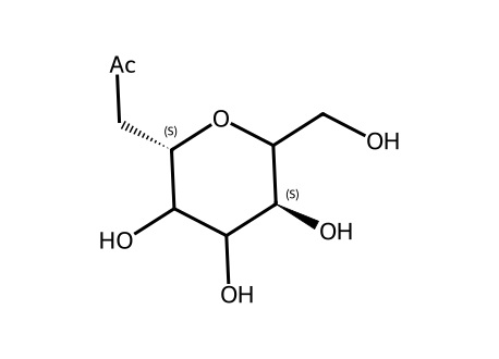 CC(=O)C[C@@H]1OC(CO)[C@@H](O)C(O)C1O